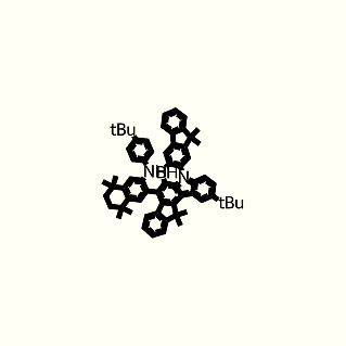 CC(C)(C)c1ccc(Nc2cc3c(cc2-c2c4c(c5c6cc(C(C)(C)C)ccc6n6c5c2Bc2cc5c(cc2-6)C(C)(C)c2ccccc2-5)C(C)(C)c2ccccc2-4)C(C)(C)CCC3(C)C)cc1